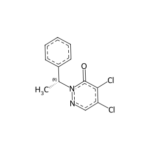 C[C@H](c1ccccc1)n1ncc(Cl)c(Cl)c1=O